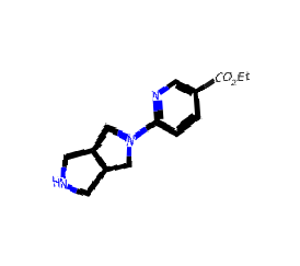 CCOC(=O)c1ccc(N2CC3CNCC3C2)nc1